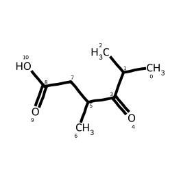 CC(C)C(=O)C(C)CC(=O)O